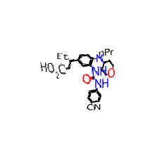 CCCN(c1ccc([C@@H](CC)CC(=O)O)cc1NC(=O)Nc1ccc(C#N)cc1)C1CCOCC1